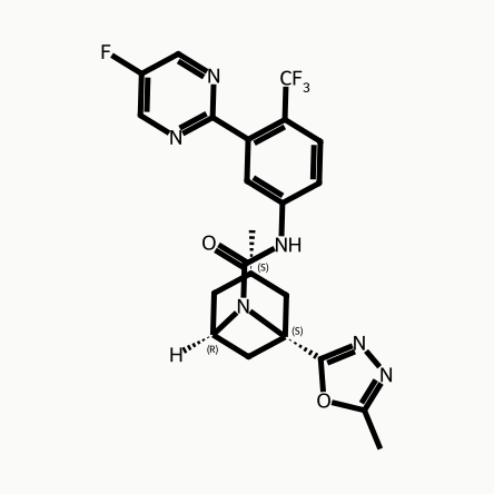 Cc1nnc([C@]23C[C@@H](C)C[C@H](C2)N3C(=O)Nc2ccc(C(F)(F)F)c(-c3ncc(F)cn3)c2)o1